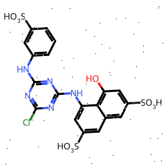 O=S(=O)(O)c1cccc(Nc2nc(Cl)nc(Nc3cc(S(=O)(=O)O)cc4cc(S(=O)(=O)O)cc(O)c34)n2)c1